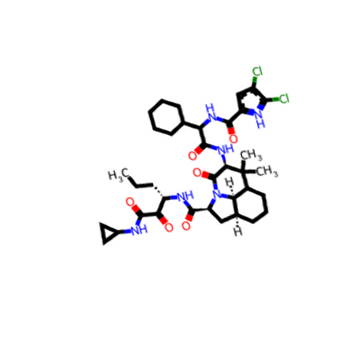 CCC[C@H](NC(=O)[C@@H]1C[C@@H]2CCCC3[C@@H]2N1C(=O)[C@@H](NC(=O)C(NC(=O)c1cc(Cl)c(Cl)[nH]1)C1CCCCC1)C3(C)C)C(=O)C(=O)NC1CC1